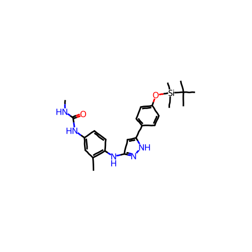 CNC(=O)Nc1ccc(Nc2cc(-c3ccc(O[Si](C)(C)C(C)(C)C)cc3)[nH]n2)c(C)c1